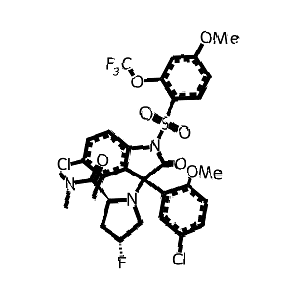 COc1ccc(S(=O)(=O)N2C(=O)C(c3cc(Cl)ccc3OC)(N3C[C@H](F)C[C@H]3C(=O)N(C)C)c3c2ccc(Cl)c3C)c(OC(F)(F)F)c1